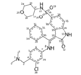 CN(C)Cc1ccc(N/C(=C2\C(=O)Nc3ccc(S(=O)(=O)NC4CCOCC4)cc32)c2ccccc2)cc1Cl